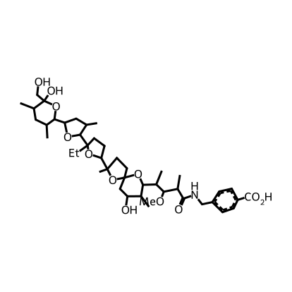 CCC1(C2OC(C3OC(O)(CO)C(C)CC3C)CC2C)CCC(C2(C)CCC3(CC(O)C(C)C(C(C)C(OC)C(C)C(=O)NCc4ccc(C(=O)O)cc4)O3)O2)O1